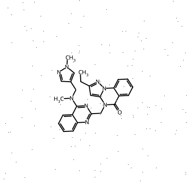 CCc1cc2n(Cc3nc(N(C)Cc4cnn(C)c4)c4ccccc4n3)c(=O)c3ccccc3n2n1